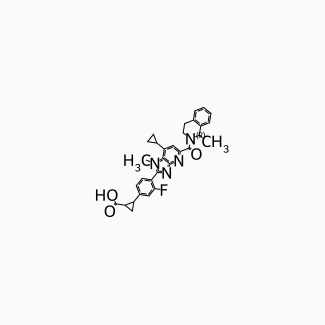 C[C@@H]1c2ccccc2CCN1C(=O)c1cc(C2CC2)c2c(n1)nc(-c1ccc(C3CC3C(=O)O)cc1F)n2C